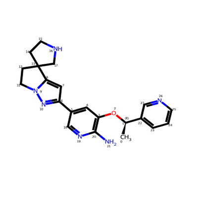 C[C@@H](Oc1cc(-c2cc3n(n2)CCC32CCNC2)cnc1N)c1cccnc1